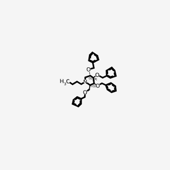 CCCCN1C[C@H](OCc2ccccc2)[C@@H](OCc2ccccc2)[C@@H](OCc2ccccc2)[C@H]1COCc1ccccc1